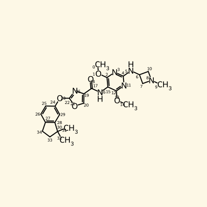 COc1nc(NC2CN(C)C2)nc(OC)c1NC(=O)c1coc(Oc2ccc3c(c2)C(C)(C)CC3)n1